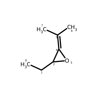 CCC1OC1=C(C)C